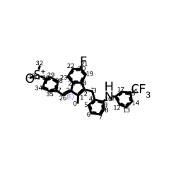 CC1=C([CH]c2ccccc2Nc2cccc(C(F)(F)F)c2)c2cc(F)ccc2/C1=C\c1ccc([S+](C)[O-])cc1